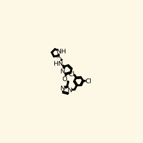 Clc1cc(Cl)cc(Cn2ccnc2COc2cccc(NC[C@@H]3CCCN3)n2)c1